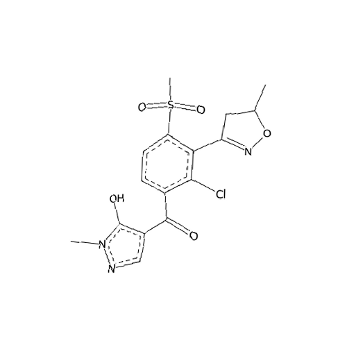 CC1CC(c2c(S(C)(=O)=O)ccc(C(=O)c3cnn(C)c3O)c2Cl)=NO1